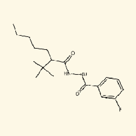 CCCCCC(C(=O)NNC(=O)c1cccc(F)c1)C(C)(C)C